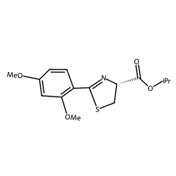 COc1ccc(C2=N[C@H](C(=O)OC(C)C)CS2)c(OC)c1